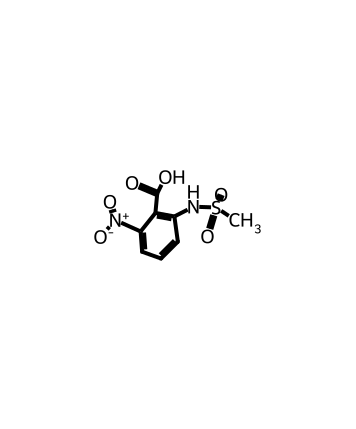 CS(=O)(=O)Nc1cccc([N+](=O)[O-])c1C(=O)O